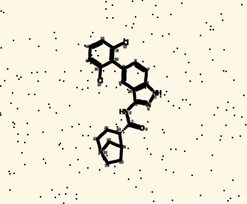 O=C(Nc1n[nH]c2ccc(-c3c(Cl)cccc3Cl)cc12)[C@H]1CCN2CCC1C2